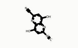 [C-]#[N+]c1cc(O)c2nc(C#N)cc(O)c2n1